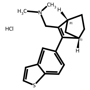 CN(C)CC1=C(c2ccc3sccc3c2)[C@H]2CC[C@@H]1C2.Cl